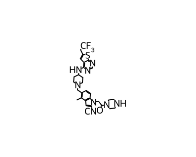 Cc1c(CN2CCC(Nc3ncnc4sc(CC(F)(F)F)cc34)CC2)ccc2c1cc(C#N)n2CC(=O)N1CCNCC1